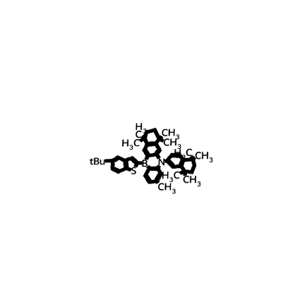 Cc1ccc2c(c1)N(c1ccc3c(c1)C(C)(C)CCC3(C)C)c1cc3c(cc1B2c1cc2cc(C(C)(C)C)ccc2s1)C(C)(C)CCC3(C)C